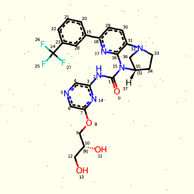 O=C(Nc1cncc(OC[C@H](O)CO)n1)N1c2nc(-c3cccc(C(F)(F)F)c3)ccc2N2CC[C@H]1C2